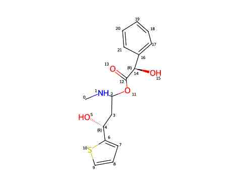 CNC(C[C@@H](O)c1cccs1)OC(=O)[C@H](O)c1ccccc1